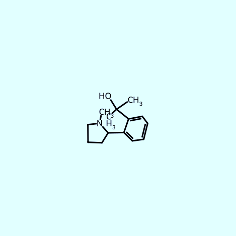 CN1CCCC1c1ccccc1C(C)(C)O